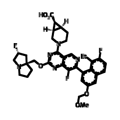 CCc1c(F)ccc2cc(OCOC)cc(-c3ncc4c(N5CC[C@H]6[C@@H](C5)[C@H]6C(=O)O)nc(OC[C@@]56CCCN5C[C@H](F)C6)nc4c3F)c12